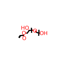 C=CC(=O)OCC(O)C(C)(C)OCC(C)(C)O